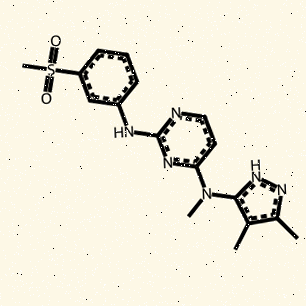 Cc1n[nH]c(N(C)c2ccnc(Nc3cccc(S(C)(=O)=O)c3)n2)c1C